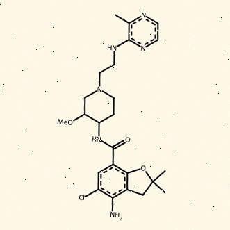 COC1CN(CCNc2nccnc2C)CCC1NC(=O)c1cc(Cl)c(N)c2c1OC(C)(C)C2